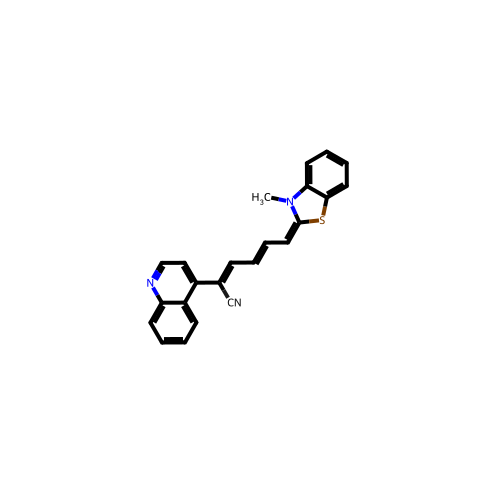 CN1\C(=C/C=C/C=C(\C#N)c2ccnc3ccccc23)Sc2ccccc21